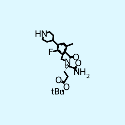 Cc1cc(C2CCNCC2)c(F)c2c1C(=O)N([C@@H](CCC(=O)OC(C)(C)C)C(N)=O)C2